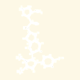 Cc1n[nH]cc1C(=O)Nc1cn2nc(-c3c(-c4ccc(F)cc4)nc(C)n3C)ccc2n1